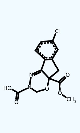 COC(=O)C12Cc3cc(Cl)ccc3C1=NN(C(=O)O)CO2